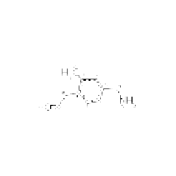 Cc1cc(CN)ccc1C[C]=O